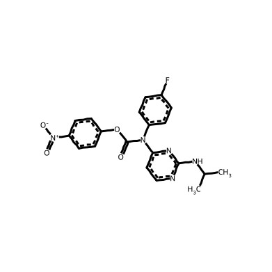 CC(C)Nc1nccc(N(C(=O)Oc2ccc([N+](=O)[O-])cc2)c2ccc(F)cc2)n1